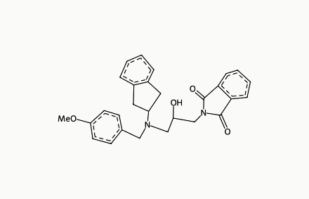 COc1ccc(CN(CC(O)CN2C(=O)c3ccccc3C2=O)C2Cc3ccccc3C2)cc1